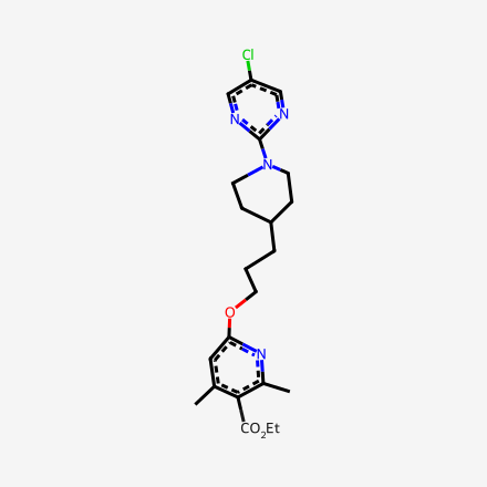 CCOC(=O)c1c(C)cc(OCCCC2CCN(c3ncc(Cl)cn3)CC2)nc1C